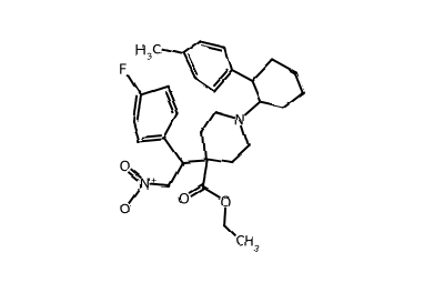 CCOC(=O)C1(C(C[N+](=O)[O-])c2ccc(F)cc2)CCN(C2CCCCC2c2ccc(C)cc2)CC1